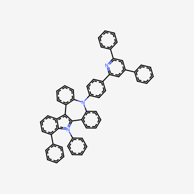 c1ccc(-c2cc(-c3ccccc3)nc(-c3ccc(N4c5ccccc5-c5c(n(-c6ccccc6)c6c(-c7ccccc7)cccc56)-c5ccccc54)cc3)c2)cc1